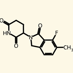 Cc1ccc2c(c1F)C(=O)N(C1CCC(=O)NC1=O)C2